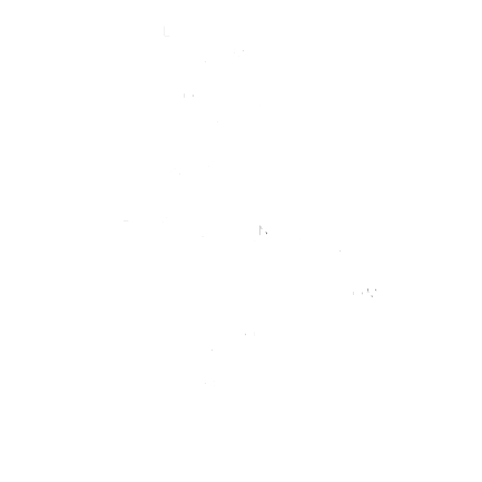 CCC(=O)Oc1ccc(C[C@](N)(CCOC(=O)Oc2ccccc2)C(=O)OC)cc1OC(=O)CC